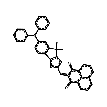 CC1(C)c2cc(N(c3ccccc3)c3ccccc3)ccc2-c2sc(C=c3c(=O)c4cccc5cccc(c3=O)c54)cc21